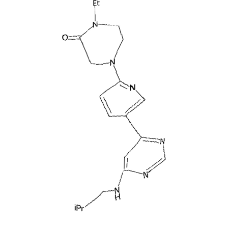 CCN1CCN(c2ccc(-c3cc(NCC(C)C)ncn3)cn2)CC1=O